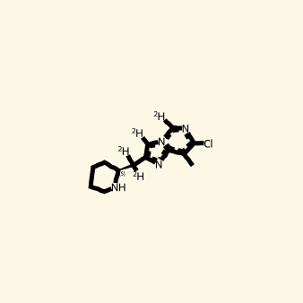 [2H]c1nc(Cl)c(C)c2nc(C([2H])([2H])[C@@H]3CCCCN3)c([2H])n12